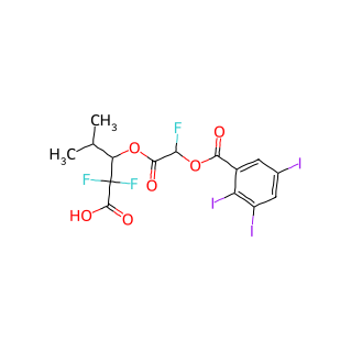 CC(C)C(OC(=O)C(F)OC(=O)c1cc(I)cc(I)c1I)C(F)(F)C(=O)O